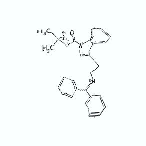 CC(C)(C)OC(=O)n1cc(CC[15N]=C(c2ccccc2)c2ccccc2)c2ccccc21